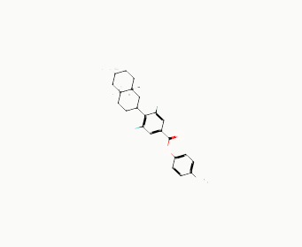 C[C@H]1CC[C@@H]2CC(c3c(F)cc(C(=O)Oc4ccc(C#N)cc4)cc3F)CC[C@H]2C1